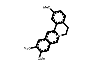 COc1ccc2c(c1)-c1cc3cc(OC)c(OC)cc3c[n+]1CC2